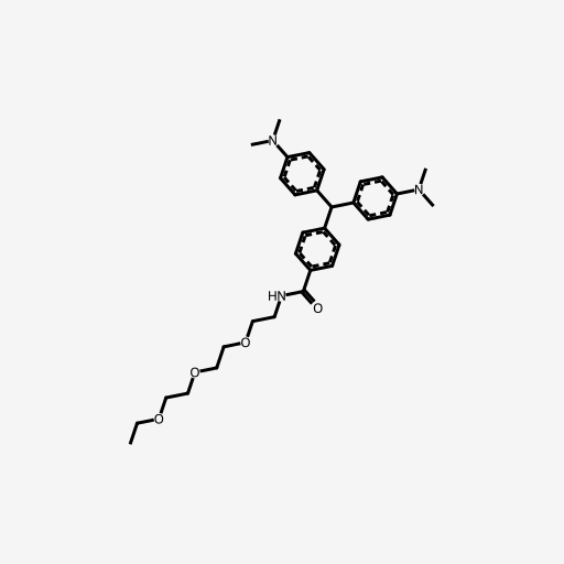 CCOCCOCCOCCNC(=O)c1ccc(C(c2ccc(N(C)C)cc2)c2ccc(N(C)C)cc2)cc1